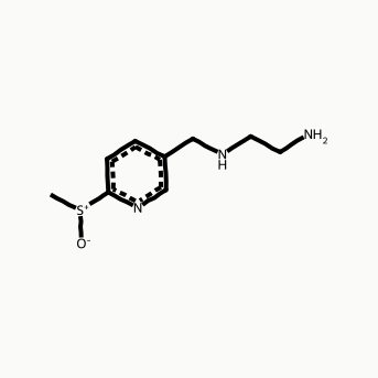 C[S+]([O-])c1ccc(CNCCN)cn1